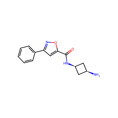 N[C@H]1C[C@@H](NC(=O)c2cc(-c3ccccc3)no2)C1